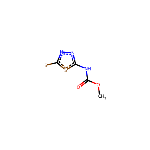 COC(=O)Nc1nnc([S])s1